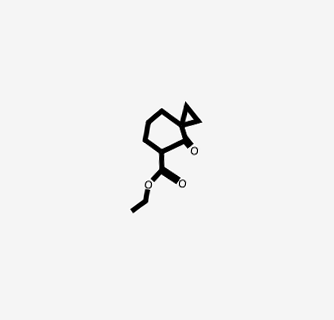 CCOC(=O)C1CCCC2(CC2)C1=O